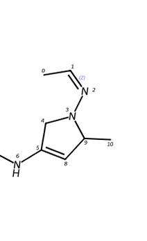 C/C=N\N1CC(NC)=CC1C